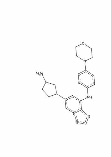 NC1CCC(c2cc(Nc3ccc(N4CCOCC4)cn3)c3ncnn3c2)C1